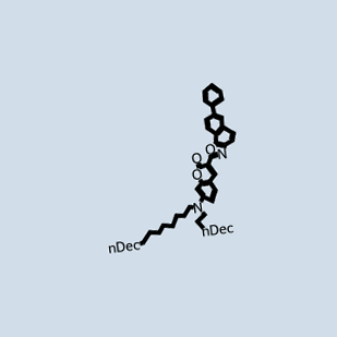 CCCCCCCCCCCCCCCCCCN(CCCCCCCCCCCC)c1ccc2cc(-c3nc4ccc5cc(-c6ccccc6)ccc5c4o3)c(=O)oc2c1